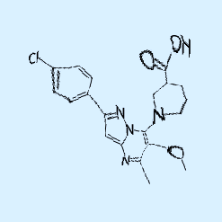 COc1c(C)nc2cc(-c3ccc(Cl)cc3)nn2c1N1CCCC(C(=O)O)C1